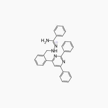 N/C(=N\NCc1ccccc1-c1cc(-c2ccccc2)nc(-c2ccccc2)n1)c1ccccc1